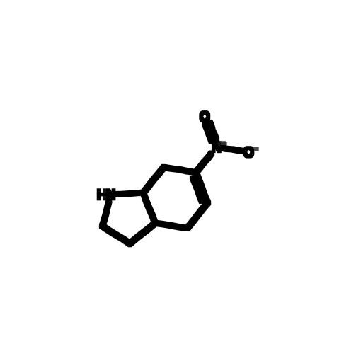 O=[N+]([O-])C1=CCC2CCNC2C1